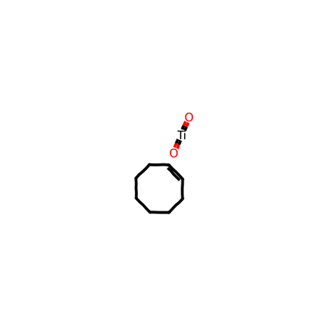 C1=CCCCCCC1.[O]=[Ti]=[O]